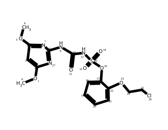 COc1cc(OC)nc(NC(=O)NS(=O)(=O)Oc2ccccc2OCCCl)n1